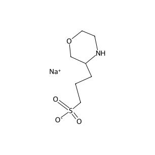 O=S(=O)([O-])CCCC1COCCN1.[Na+]